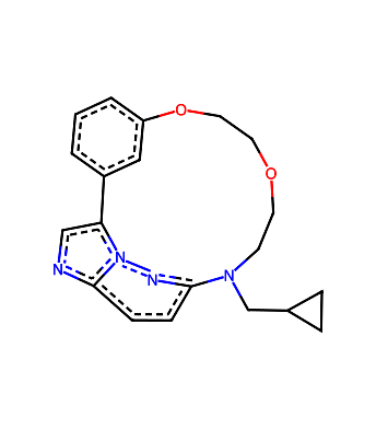 c1cc2cc(c1)-c1cnc3ccc(nn13)N(CC1CC1)CCOCCO2